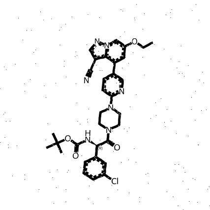 CCOc1cc(-c2ccc(N3CCN(C(=O)[C@H](NC(=O)OC(C)(C)C)c4cccc(Cl)c4)CC3)nc2)c2c(C#N)cnn2c1